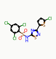 O=S(=O)(Nc1nc(-c2ccc(Cl)s2)ns1)c1c(Cl)cc(Cl)cc1Cl